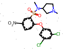 CN1CCC(N(C)S(=O)(=O)c2cc([N+](=O)[O-])ccc2Oc2cc(Cl)cc(Cl)c2)C1